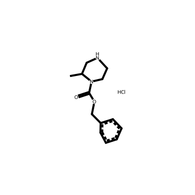 CC1CNCCN1C(=O)OCc1ccccc1.Cl